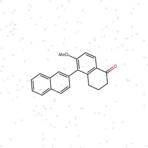 COc1ccc2c(c1-c1ccc3ccccc3c1)CCCC2=O